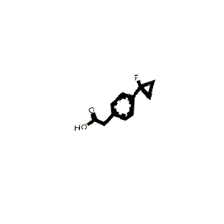 O=C(O)Cc1ccc(C2(F)CC2)cc1